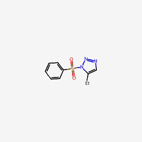 CCc1cnnn1S(=O)(=O)c1ccccc1